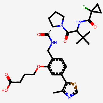 Cc1ncsc1-c1ccc(CNC(=O)[C@@H]2CCCN2C(=O)C(NC(=O)C2(F)CC2)C(C)(C)C)c(OCCCC(=O)O)c1